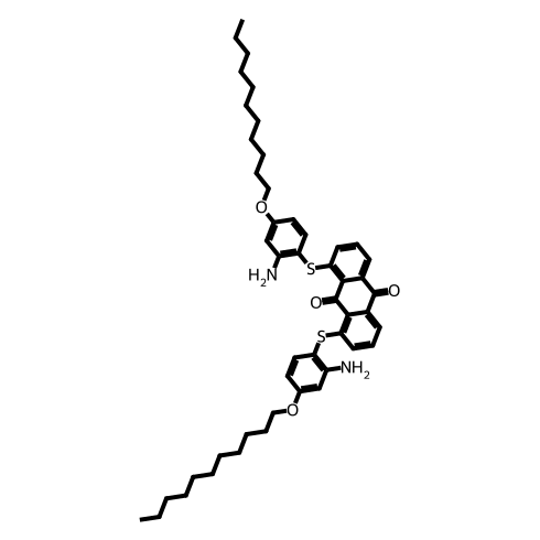 CCCCCCCCCCCOc1ccc(Sc2cccc3c2C(=O)c2c(Sc4ccc(OCCCCCCCCCCC)cc4N)cccc2C3=O)c(N)c1